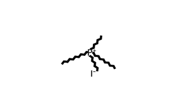 CCCCCCCCCC[P+](CCCCCCC)(CCCCCCC)CCCCCCCCCC.[I-]